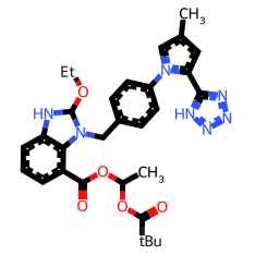 CCOC1Nc2cccc(C(=O)OC(C)OC(=O)C(C)(C)C)c2N1Cc1ccc(-n2cc(C)cc2-c2nnn[nH]2)cc1